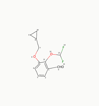 O=Cc1cccc(OCC2CC2)c1OC(F)F